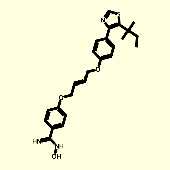 CCC(C)(C)c1scnc1-c1ccc(OCC=CCOc2ccc(C(=N)NO)cc2)cc1